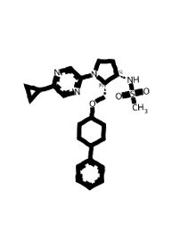 CS(=O)(=O)N[C@H]1CCN(c2cnc(C3CC3)cn2)[C@H]1COC1CCC(c2ccccc2)CC1